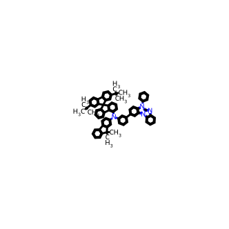 CC(C)(C)c1ccc2c(c1)C1(c3cc(C(C)(C)C)ccc3-2)c2ccccc2-c2c(N(c3cccc(-c4ccc5c(c4)n4c6ccccc6nc4n5-c4ccccc4)c3)c3ccc4c(c3)C(C)(C)c3ccccc3-4)cccc21